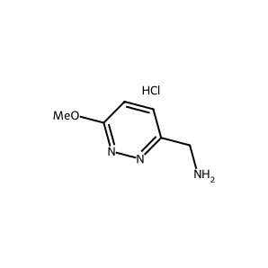 COc1ccc(CN)nn1.Cl